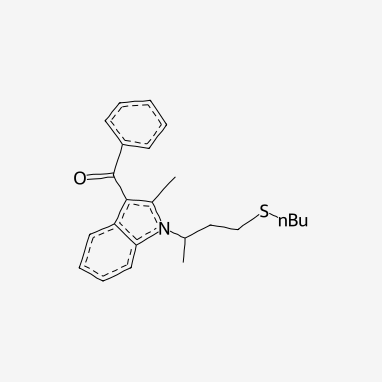 CCCCSCCC(C)n1c(C)c(C(=O)c2ccccc2)c2ccccc21